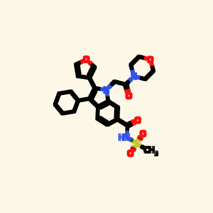 CS(=O)(=O)NC(=O)c1ccc2c(C3CCCCC3)c(-c3ccoc3)n(CC(=O)N3CCOCC3)c2c1